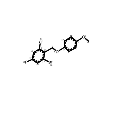 COc1ccc(OCc2c(Cl)cc(F)cc2Br)cc1